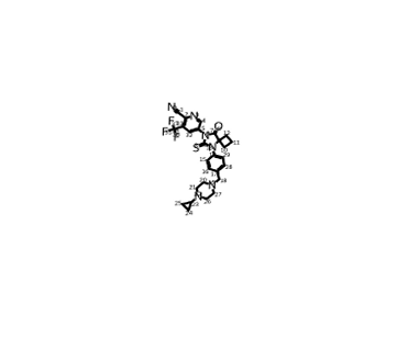 N#Cc1ncc(N2C(=O)C3(CCC3)N(c3ccc(CN4CCN(C5CC5)CC4)cc3)C2=S)cc1C(F)(F)F